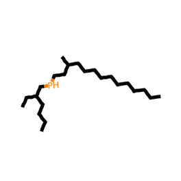 CCCCCCCCCCCC(C)CCPCC(CC)CCCC